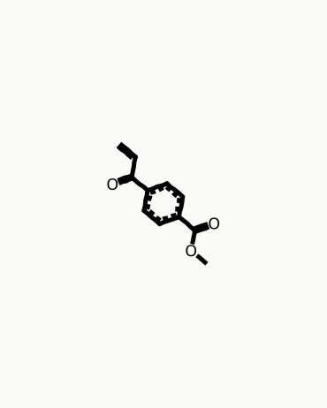 C=CC(=O)c1ccc(C(=O)OC)cc1